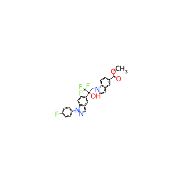 COC(=O)c1ccc2c(ccn2CC(O)(c2ccc3c(cnn3-c3ccc(F)cc3)c2)C(F)(F)F)c1